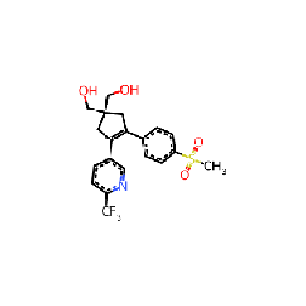 CS(=O)(=O)c1ccc(C2=C(c3ccc(C(F)(F)F)nc3)CC(CO)(CO)C2)cc1